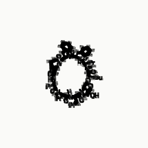 CC[C@H](C)[C@@H]1OC(=O)[C@@H](C(C)(C)O)N(C)C(=O)C(CC(C)C)NC(=O)[C@H](C(C)C)N(C)C(=O)[C@H](C(C)C)NC(=O)[C@@H]2CCCN2C(=O)[C@@H](Cc2ccccc2)N(C)C(=O)[C@@H](Cc2ccccc2)NC(=O)[C@@H](C(C)C)N(C)C1=O